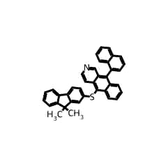 CC1(C)c2ccccc2-c2ccc(Sc3c4ccccc4c(-c4cccc5ccccc45)c4cnccc34)cc21